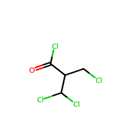 O=C(Cl)C(CCl)C(Cl)Cl